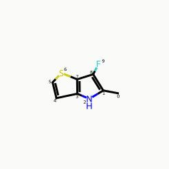 Cc1[nH]c2ccsc2c1F